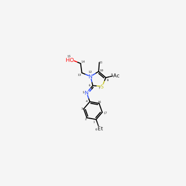 CCc1ccc(/N=c2\sc(C(C)=O)c(C)n2CCO)cc1